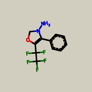 NN1COC(C(F)(F)C(F)(F)F)=C1c1ccccc1